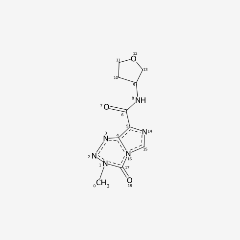 Cn1nnc2c(C(=O)NC3CCOC3)ncn2c1=O